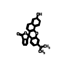 CN(C)c1ccc2c(c1)Oc1c(ccc3c1=CCC(O)C=3)C21OC(=O)c2ccccc21